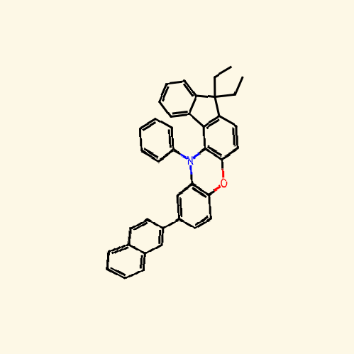 CCC1(CC)c2ccccc2-c2c1ccc1c2N(c2ccccc2)c2cc(-c3ccc4ccccc4c3)ccc2O1